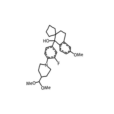 COc1ccc2c(c1)CCC1(CCCC1)C2(O)c1ccc(N2CCC(C(OC)OC)CC2)c(F)c1